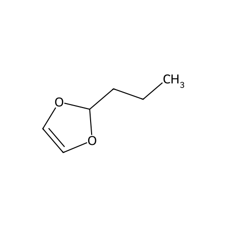 CCCC1OC=CO1